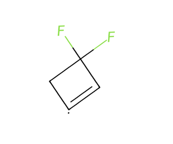 FC1(F)C=[C]C1